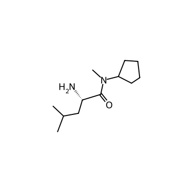 CC(C)C[C@H](N)C(=O)N(C)C1CCCC1